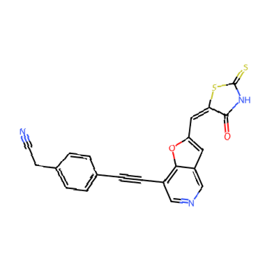 N#CCc1ccc(C#Cc2cncc3cc(C=C4SC(=S)NC4=O)oc23)cc1